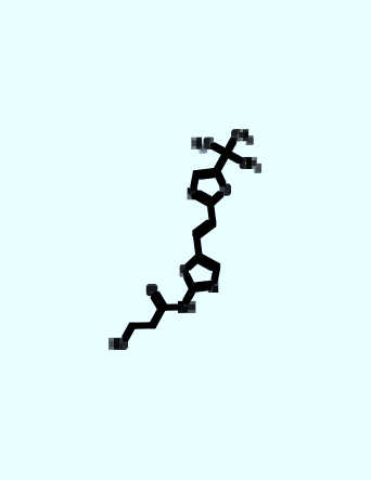 CC(C)(C)c1cnc(C=Cc2cnc(NC(=O)CCO)s2)o1